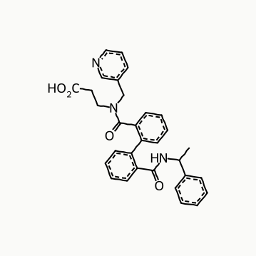 CC(NC(=O)c1ccccc1-c1ccccc1C(=O)N(CCC(=O)O)Cc1cccnc1)c1ccccc1